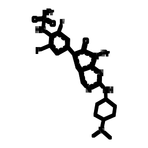 CCCS(=O)(=O)Nc1c(F)cc(-c2cc3cnc(NC4CCC(N(C)C)CC4)nc3n(C(C)C)c2=O)cc1F